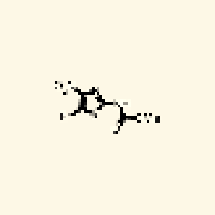 COC(=O)Nc1nc([N+](=O)[O-])c(Br)s1